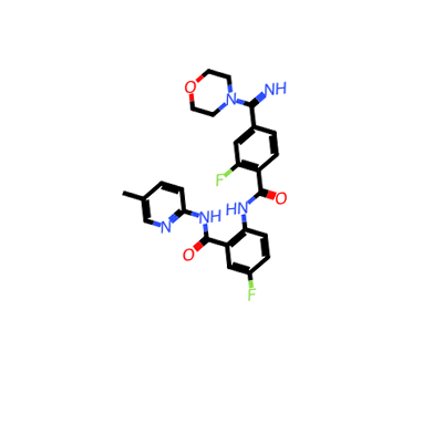 Cc1ccc(NC(=O)c2cc(F)ccc2NC(=O)c2ccc(C(=N)N3CCOCC3)cc2F)nc1